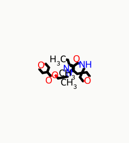 CCc1nn(CC(C)(C)COC(=O)C2CCOCC2)c2c1C(=O)NCC1(CCOCC1)C2